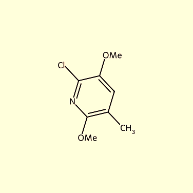 COc1cc(C)c(OC)nc1Cl